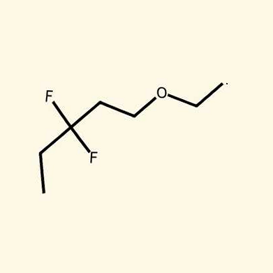 [CH2]COCCC(F)(F)CC